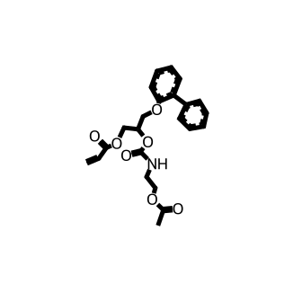 C=CC(=O)OCC(COc1ccccc1-c1ccccc1)OC(=O)NCCOC(C)=O